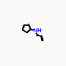 C=CCNC1CCCC1